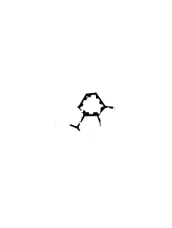 [CH2]C(O)c1cccc(F)c1F